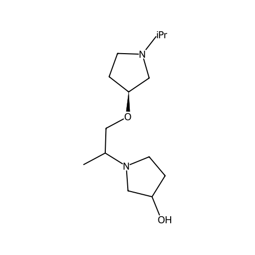 CC(C)N1CC[C@H](OCC(C)N2CCC(O)C2)C1